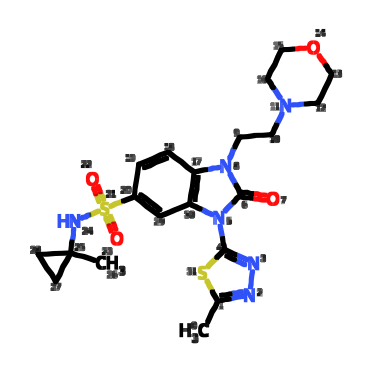 Cc1nnc(-n2c(=O)n(CCN3CCOCC3)c3ccc(S(=O)(=O)NC4(C)CC4)cc32)s1